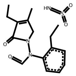 CCC1=C(C)CN(N(C=O)c2ccccc2CC)C1=O.N=S(=O)=O